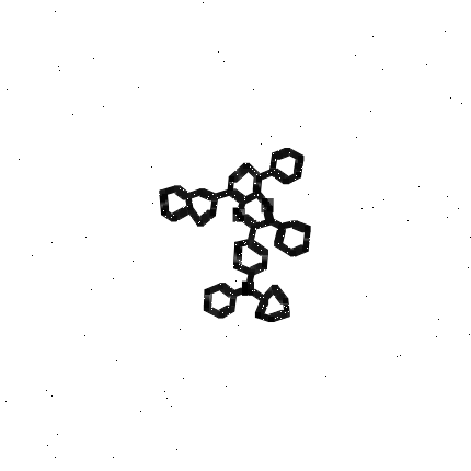 c1ccc(-c2nc3c(-c4ccccc4)ccc(-c4ccc5ccccc5c4)c3nc2-c2ccc(N(c3ccccc3)c3ccccc3)cc2)cc1